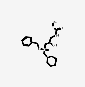 CC(C)(C)OC(=O)NCC(O)CP(=O)(CC1CCCCC1)OCc1ccccc1